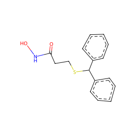 O=C(CCSC(c1ccccc1)c1ccccc1)NO